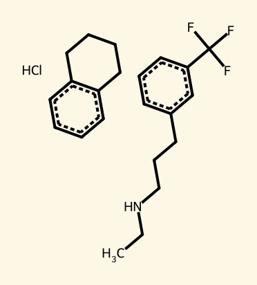 CCNCCCc1cccc(C(F)(F)F)c1.Cl.c1ccc2c(c1)CCCC2